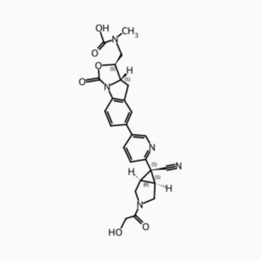 CN(C[C@@H]1OC(=O)N2c3ccc(-c4ccc([C@@]5(C#N)[C@@H]6CN(C(=O)CO)C[C@@H]65)nc4)cc3C[C@@H]12)C(=O)O